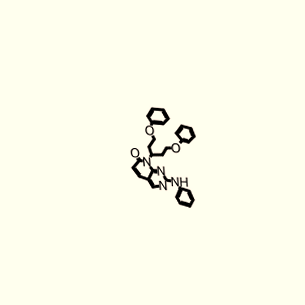 O=c1ccc2cnc(Nc3ccccc3)nc2n1C(CCOc1ccccc1)CCOc1ccccc1